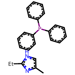 CCc1nc(C)c[nH]1.c1ccc(P(c2ccccc2)c2ccccc2)cc1